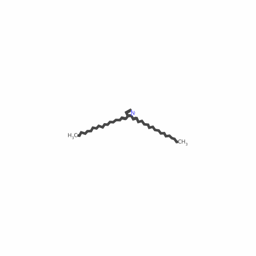 CCCCCCCCCCCCCCCCC=CC1=C(C=CCCCCCCCCCCCCCCCC)[N]C=C1